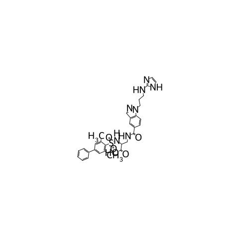 Cc1cc(-c2ccccc2)cc(C)c1S(=O)(=O)NC(CNC(=O)c1ccc2c(cnn2CCCNc2ncc[nH]2)c1)C(=O)O